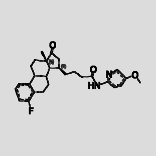 COc1ccc(NC(=O)CCC[C@@H]2CC(=O)[C@@]3(C)CCC4c5cccc(F)c5CCC4C23)nc1